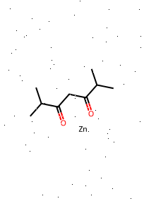 CC(C)C(=O)CC(=O)C(C)C.[Zn]